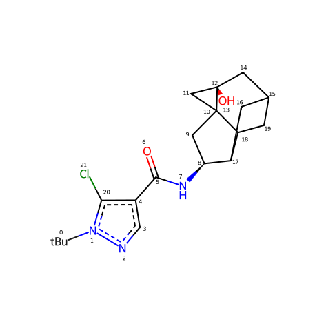 CC(C)(C)n1ncc(C(=O)N[C@H]2CC34C[C@]3(O)CC3CC2C4C3)c1Cl